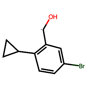 O[CH]c1cc(Br)ccc1C1CC1